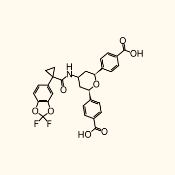 O=C(O)c1ccc([C@@H]2CC(NC(=O)C3(c4ccc5c(c4)OC(F)(F)O5)CC3)C[C@H](c3ccc(C(=O)O)cc3)O2)cc1